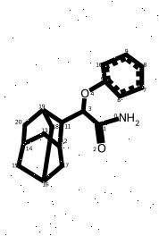 NC(=O)C(Oc1ccccc1)C1C2CC3CC(C2)CC1C3